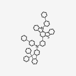 c1ccc(-c2ccc(N(c3cccc(-c4cc5c6ccccc6n(-c6cccc(-c7ccccc7)c6)c5c5c4sc4ccccc45)c3)c3ccc4c(c3)C(c3ccccc3)(c3ccccc3)c3ccccc3-4)cc2)cc1